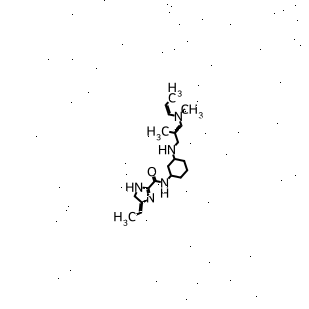 C/C=C\N(C)/C=C(\C)CNC1CCCC(NC(=O)C2=N/C(=C/C)CN2)C1